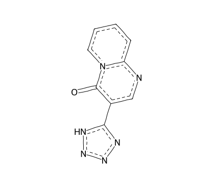 O=c1c(-c2nnn[nH]2)cnc2ccccn12